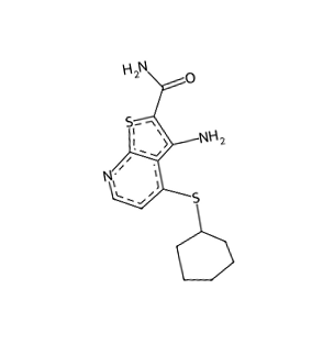 NC(=O)c1sc2nccc(SC3CCCCC3)c2c1N